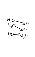 O=C(O)O.[CH3][Sr+2].[CH3][Sr+2]